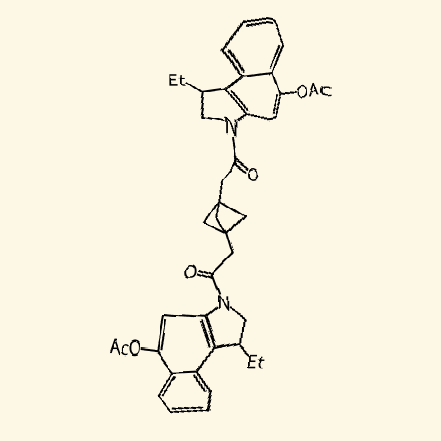 CCC1CN(C(=O)CC23CC(CC(=O)N4CC(CC)c5c4cc(OC(C)=O)c4ccccc54)(C2)C3)c2cc(OC(C)=O)c3ccccc3c21